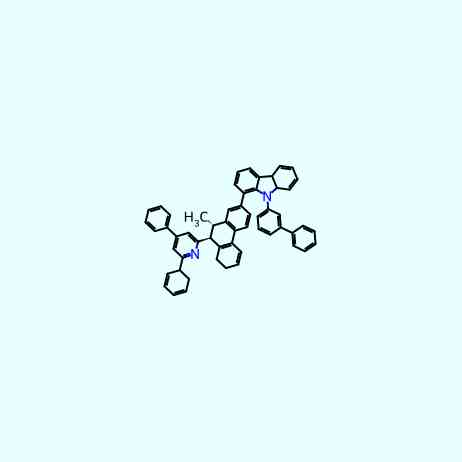 C[C@@H]1c2cc(-c3cccc4c3N(c3cccc(-c5ccccc5)c3)C3C=CC=CC43)ccc2C2=C(CCC=C2)[C@H]1c1cc(-c2ccccc2)cc(C2C=CC=CC2)n1